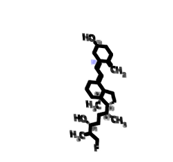 C=C1CC[C@H](O)C/C1=C/C=C1CCC[C@@]2(C)C1CC[C@@H]2[C@H](C)CC[C@@H](O)C(C)CF